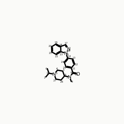 CC(C)N1CCC(N(C)C(=O)c2ccc(-n3ncc4ccccc43)cc2)CC1